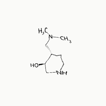 CN(C)C[C@@H]1CCNC[C@H]1O